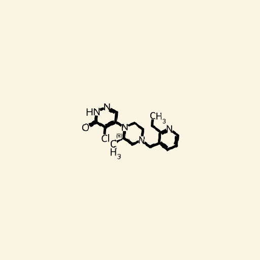 CCc1ncccc1CN1CCN(c2cn[nH]c(=O)c2Cl)[C@H](C)C1